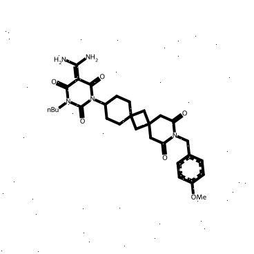 CCCCN1C(=O)C(=C(N)N)C(=O)N(C2CCC3(CC2)CC2(CC(=O)N(Cc4ccc(OC)cc4)C(=O)C2)C3)C1=O